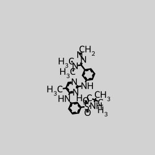 C=N/N=C(/c1cccc(Nc2ncc(C)c(Nc3cccc(S(=O)(=O)NC(C)(C)C)c3)n2)c1)N(C)C